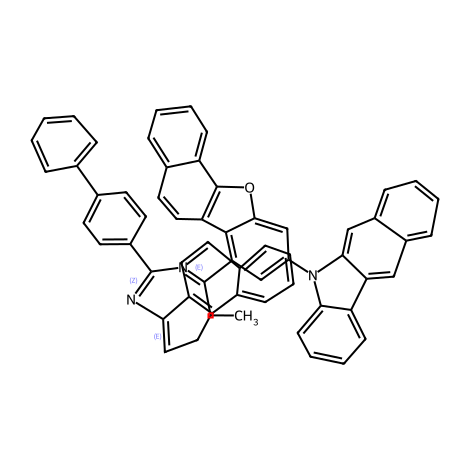 CC1C/C=C(c2ccc3ccccc3c2)/N=C(c2ccc(-c3ccccc3)cc2)\N=C/1c1cc(-n2c3ccccc3c3cc4ccccc4cc32)cc2oc3c4ccccc4ccc3c12